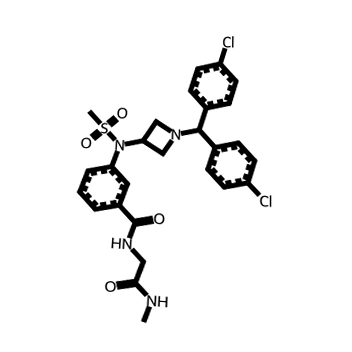 CNC(=O)CNC(=O)c1cccc(N(C2CN(C(c3ccc(Cl)cc3)c3ccc(Cl)cc3)C2)S(C)(=O)=O)c1